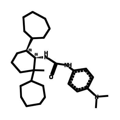 CN(C)c1ccc(NC(=O)N[C@H]2[C@H](C3CCCCCC3)CCCC2(C)C2CCCCCC2)cc1